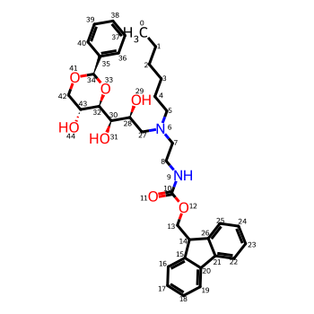 CCCCCCN(CCNC(=O)OCC1c2ccccc2-c2ccccc21)C[C@H](O)[C@@H](O)[C@@H]1O[C@H](c2ccccc2)OC[C@H]1O